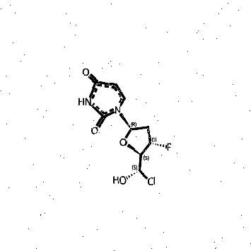 O=c1ccn([C@H]2C[C@H](F)[C@@H]([C@@H](O)Cl)O2)c(=O)[nH]1